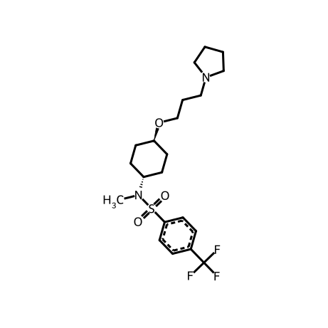 CN([C@H]1CC[C@H](OCCCN2CCCC2)CC1)S(=O)(=O)c1ccc(C(F)(F)F)cc1